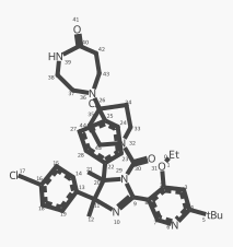 CCOc1cc(C(C)(C)C)ncc1C1=NC(C)(c2ccc(Cl)cc2)C(C)(c2ccc(Cl)cc2)N1C(=O)N1CCC(N2CCNC(=O)CC2)CC1